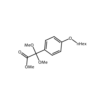 CCCCCCOc1ccc(C(OC)(OC)C(=O)OC)cc1